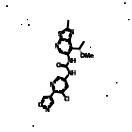 CO[C@@H](C)c1c(NC(=O)Nc2cnc(-c3cnoc3)c(Cl)c2)cnc2sc(C)nc12